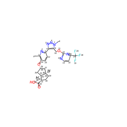 Cc1nc(-c2nnn(C)c2COc2nccc(C(F)(F)F)n2)ccc1O[C@@H]1C[C@H]2CC[C@@H](C(=O)O)[C@H]2C1